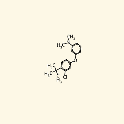 CN(C)c1cccc(Oc2ccc(C(C)(C)C)c(Cl)c2)c1